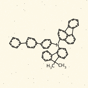 CC1(C)c2ccccc2-c2c(N(c3ccc(-c4ccc(-c5ccccc5)cc4)cc3)c3ccc4c5c(cccc35)-c3ccccc3-4)cccc21